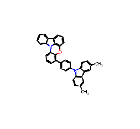 Cc1ccc2c(c1)c1cc(C)ccc1n2-c1ccc(-c2cccc3c2Oc2cccc4c5ccccc5n-3c24)cc1